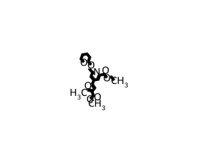 CCOC(=O)c1cc(-c2cc(C(=O)OC)c(C)o2)cc(COC2CCCCO2)n1